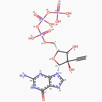 C#C[C@@]1(O)C(O)[C@@H](COP(=O)(O)OP(=O)(O)OP(=O)(O)O)O[C@H]1n1cnc2c(=O)[nH]c(N)nc21